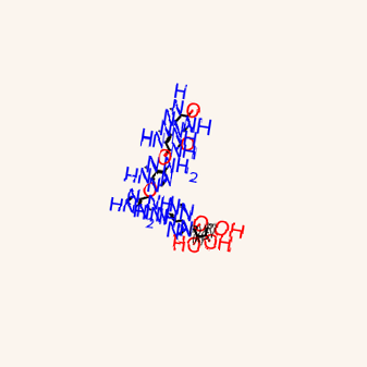 Nc1nc2[nH]cnc2c(=O)[nH]1.Nc1ncnc2[nH]cnc12.Nc1ncnc2c1ncn2[C@@H]1O[C@H](CO)[C@@H](O)[C@H]1O.O=c1[nH]c(=O)c2[nH]cnc2[nH]1.O=c1[nH]cnc2nc[nH]c12